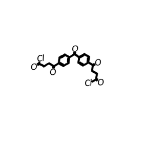 O=C(Cl)CCC(=O)c1ccc(C(=O)c2ccc(C(=O)CCC(=O)Cl)cc2)cc1